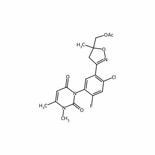 CC(=O)OCC1(C)CC(c2cc(-n3c(=O)cc(C)n(C)c3=O)c(F)cc2Cl)=NO1